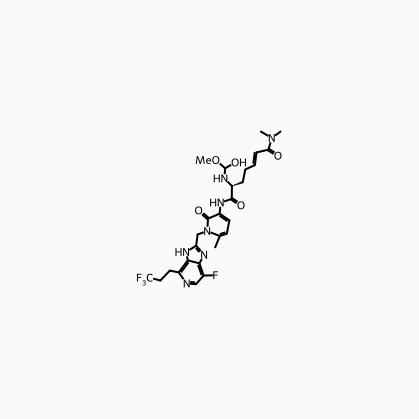 COC(O)N[C@@H](CC/C=C/C(=O)N(C)C)C(=O)Nc1ccc(C)n(Cc2nc3c(F)cnc(CCC(F)(F)F)c3[nH]2)c1=O